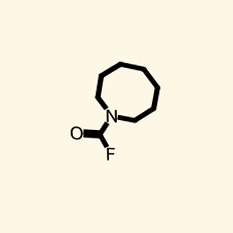 O=C(F)N1CCCCCCC1